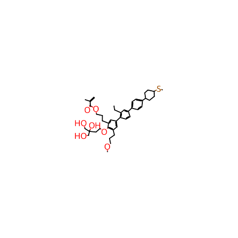 C=C(C)C(=O)OCCCc1cc(-c2ccc(-c3ccc(C4CCC(SC)CC4)cc3)cc2CC)cc(CCCOC)c1OCCC(O)(CO)CO